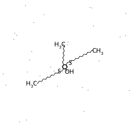 CCCCCCCCCCCCSCc1cc(CCCCCCCCC)c(CSCCCCCCCCCCCC)cc1O